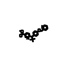 COC(=O)c1ccc(C(c2ccc(OCc3ccccn3)cc2)C(C)(C)C)nc1